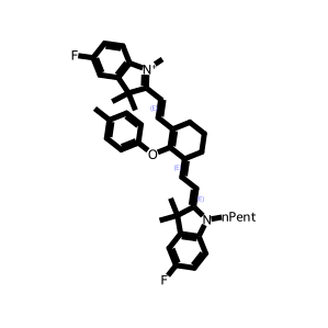 CCCCCN1/C(=C/C=C2\CCCC(/C=C/C3=[N+](C)c4ccc(F)cc4C3(C)C)=C2Oc2ccc(C)cc2)C(C)(C)c2cc(F)ccc21